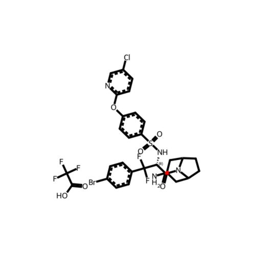 NC1CC2CCC(C1)N2C(=O)[C@@H](NS(=O)(=O)c1ccc(Oc2ccc(Cl)cn2)cc1)C(F)(F)c1ccc(Br)cc1.O=C(O)C(F)(F)F